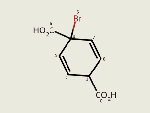 O=C(O)C1C=CC(Br)(C(=O)O)C=C1